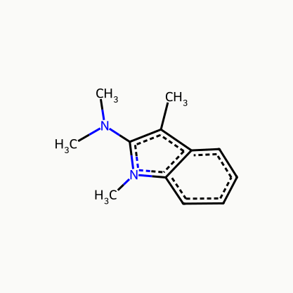 Cc1c(N(C)C)n(C)c2ccccc12